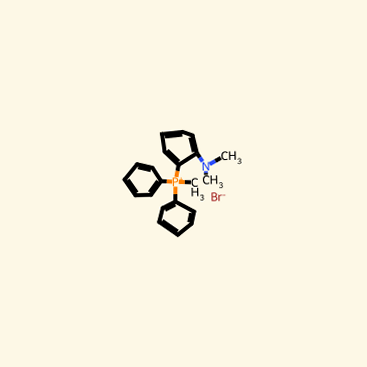 CN(C)c1ccccc1[P+](C)(c1ccccc1)c1ccccc1.[Br-]